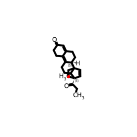 CCC(=O)[C@]12C=CC3(CC1)[C@@H]1CCC4=CC(=O)CCC4=C1CC[C@@]32C